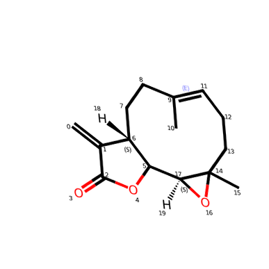 C=C1C(=O)OC2[C@H]1CC/C(C)=C/CCC1(C)O[C@@H]21